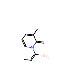 B/C(=C/C)N1C=CC=C(C)C1=C